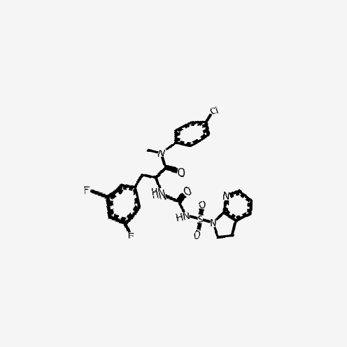 CN(C(=O)C(Cc1cc(F)cc(F)c1)NC(=O)NS(=O)(=O)N1CCc2cccnc21)c1ccc(Cl)cc1